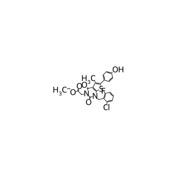 CCOC(=O)Cn1c(=O)c2c(C)c(-c3ccc(O)cc3)sc2n(Cc2c(F)cccc2Cl)c1=O